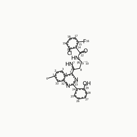 Cc1ccc2c(C(=N)C[C@@H](C)NC(=O)c3c(F)cccc3Cl)nc(-c3ccccc3O)nc2c1